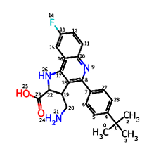 CC(C)(C)c1ccc(-c2nc3ccc(F)cc3c3c2C(CN)C(C(=O)O)N3)cc1